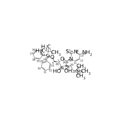 CC(C)(C)[Si](OC[C@H]1O[C@@H](n2ccc(N)nc2=S)[C@@](O)(CC[Si](C)(C)C)[C@@H]1O)(c1ccccc1)c1ccccc1